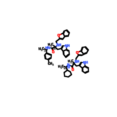 C[C@@H](NC(=O)[C@@](C)(Cc1c[nH]c2ccccc12)NCc1cc2ccccc2o1)C1CCCCC1.Cc1ccc([C@@H](C)NC(=O)[C@@](C)(Cc2c[nH]c3ccccc23)NCc2cc3ccccc3o2)cc1